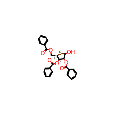 O=C(OC[C@H]1SC(O)C(OC(=O)c2ccccc2)[C@H]1OC(=O)c1ccccc1)c1ccccc1